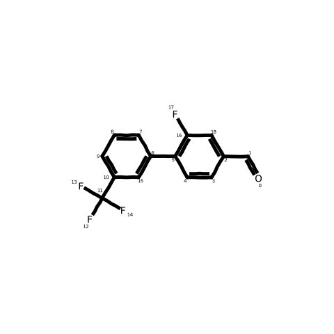 O=Cc1ccc(-c2cccc(C(F)(F)F)c2)c(F)c1